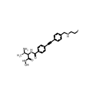 C[C@@H](N)C(NC(=O)c1ccc(C#Cc2ccc(CNCCF)cc2)cc1)C(=O)NO